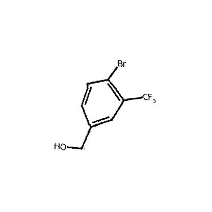 O[CH]c1ccc(Br)c(C(F)(F)F)c1